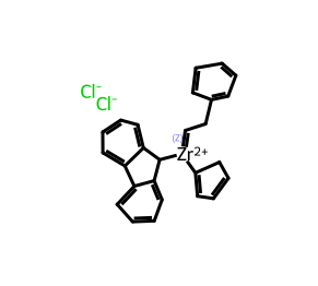 C1=CC[C](/[Zr+2](=[CH]\Cc2ccccc2)[CH]2c3ccccc3-c3ccccc32)=C1.[Cl-].[Cl-]